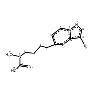 CN(CCCCc1ccn2ncc(Br)c2n1)C(=O)O